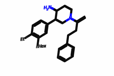 C=C(CCc1ccccc1)N1CCC(N)C(c2ccc(CC)c(CCCCCC)c2)C1